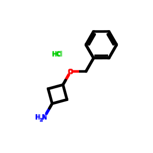 Cl.NC1CC(OCc2ccccc2)C1